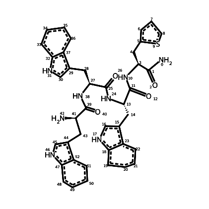 NC(=O)[C@H](Cc1cccs1)NC(=O)[C@H](Cc1c[nH]c2ccccc12)NC(=O)[C@H](Cc1c[nH]c2ccccc12)NC(=O)[C@H](N)Cc1c[nH]c2ccccc12